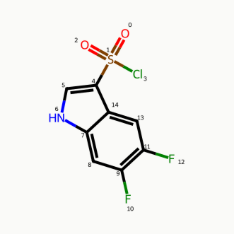 O=S(=O)(Cl)c1c[nH]c2cc(F)c(F)cc12